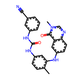 Cc1ccc(NC(=O)Nc2cccc(C#N)c2)cc1Nc1ccc2ncn(C)c(=O)c2c1